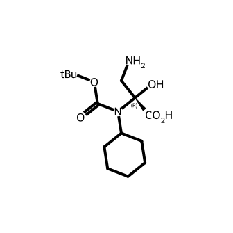 CC(C)(C)OC(=O)N(C1CCCCC1)[C@@](O)(CN)C(=O)O